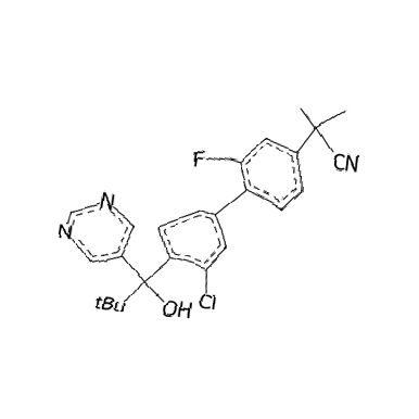 CC(C)(C#N)c1ccc(-c2ccc(C(O)(c3cncnc3)C(C)(C)C)c(Cl)c2)c(F)c1